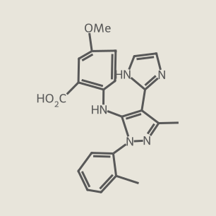 COc1ccc(Nc2c(-c3ncc[nH]3)c(C)nn2-c2ccccc2C)c(C(=O)O)c1